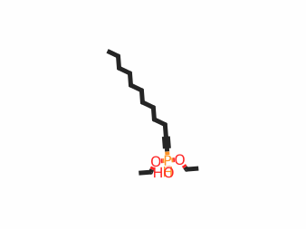 CCCCCCCCCCC#C[PH](O)(OCC)OCC